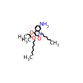 CC=C(CC)Oc1c(OCCCCCCCC)c(=O)n(CCCCCC)c2cc(N)ccc12